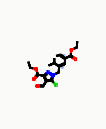 C/C=C(\C=C(\Cn1nc(C(=O)OCC)c(C=O)c1Cl)C(C)C)C(=O)OCC